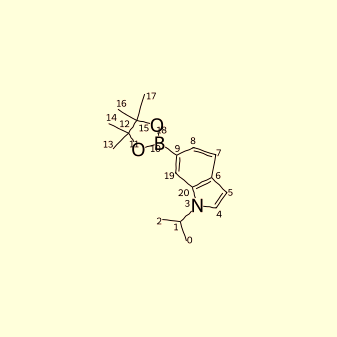 CC(C)n1ccc2ccc(B3OC(C)(C)C(C)(C)O3)cc21